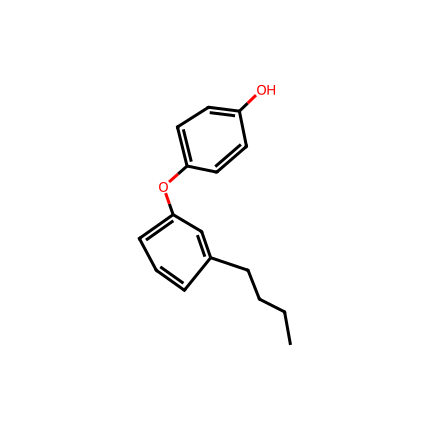 CCCCc1cccc(Oc2ccc(O)cc2)c1